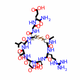 CC(=O)N[C@H]1CSSC[C@@H](C(=O)NCC(=O)N[C@@H](CCC(=O)O)C(N)=O)NC(=O)[C@H](CC(C)C)NC(=O)[C@H]([C@@H](C)O)NC(=O)[C@H](CC(=O)O)NC(=O)[C@H](CO)NC(=O)[C@H](CCCNC(=N)N)NC1=O